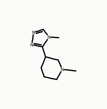 CN1CCCC(c2nncn2C)C1